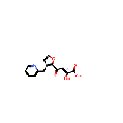 O=C(O)/C(O)=C/C(=O)c1occc1Cc1ccccn1